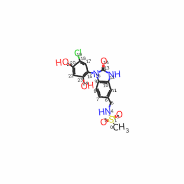 CS(=O)(=O)NCc1ccc2c(c1)[nH]c(=O)n2-c1cc(Cl)c(O)cc1O